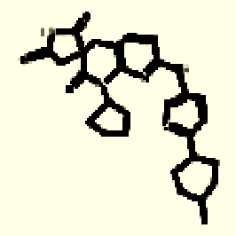 CN1CCN(c2ccc(Nc3ncc4c(n3)N(C3CCCC3)C(=O)C3(CC(=O)NC3=O)C4)cn2)CC1